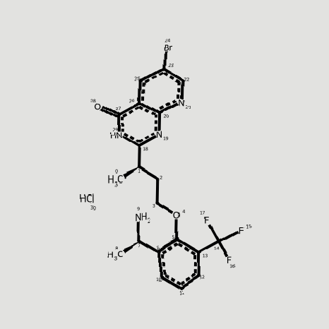 C[C@H](CCOc1c([C@@H](C)N)cccc1C(F)(F)F)c1nc2ncc(Br)cc2c(=O)[nH]1.Cl